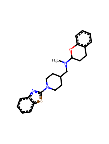 CN(CC1CCN(c2nc3ccccc3s2)CC1)C1CCc2ccccc2O1